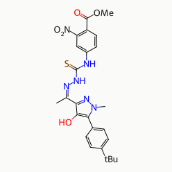 COC(=O)c1ccc(NC(=S)N/N=C(/C)c2nn(C)c(-c3ccc(C(C)(C)C)cc3)c2O)cc1[N+](=O)[O-]